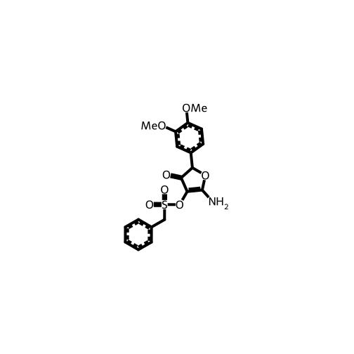 COc1ccc(C2OC(N)=C(OS(=O)(=O)Cc3ccccc3)C2=O)cc1OC